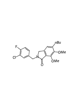 CCCCc1cc2c(c(OC)c1OC)C(=O)N(Cc1ccc(F)c(Cl)c1)C2